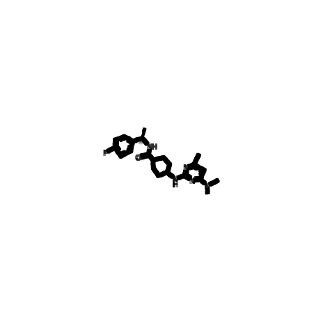 Cc1cc(N(C)C)nc(NC2CCC(C(=O)N[C@H](C)c3ccc(F)cc3)CC2)n1